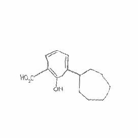 O=C(O)c1cccc(C2CCCCCC2)c1O